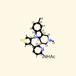 CC(=O)Nc1ccc(-c2cscc2-n2c3c(c4cc(C)ccc42)CN(C)CC3)cn1